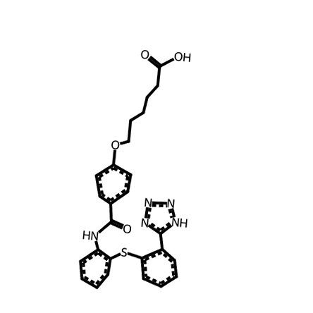 O=C(O)CCCCCOc1ccc(C(=O)Nc2ccccc2Sc2ccccc2-c2nnn[nH]2)cc1